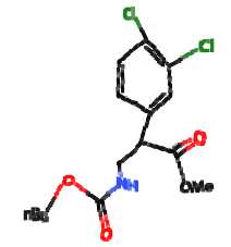 CCCCOC(=O)NCC(C(=O)OC)c1ccc(Cl)c(Cl)c1